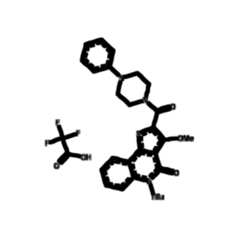 CCCCn1c(=O)c2c(OC)c(C(=O)N3CCN(c4ccccc4)CC3)sc2c2ccccc21.O=C(O)C(F)(F)F